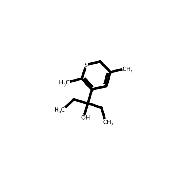 CCC(O)(CC)C1=C(C)SCC(C)=C1